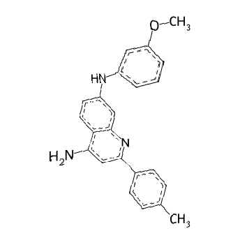 COc1cccc(Nc2ccc3c(N)cc(-c4ccc(C)cc4)nc3c2)c1